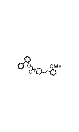 COc1ccccc1CCC1CCN(C(=O)COc2ccccc2-c2ccccc2)CC1